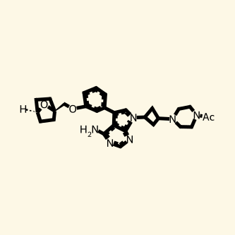 CC(=O)N1CCN(C2CC(n3cc(-c4cccc(OC[C@]56CC[C@@H](CC5)O6)c4)c4c(N)ncnc43)C2)CC1